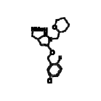 CNCC1C=C(OCc2cc(Cl)ccc2F)N(CC2CCCCO2)N1